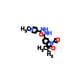 CN1C=CC(C(=N)OC(=N)c2ccc3c(c2)N(C2COC2)C(=O)C3(C)C)=CC1